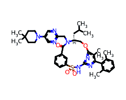 Cc1cccc(C)c1-c1nc2nc(c1C)OC[C@@H](CC(C)C)N(Cc1ncc(N3CCC(C)(C)CC3)cn1)C(=O)c1cccc(c1)S(=O)(=O)N2